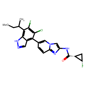 COCC(C)c1c(F)c(Cl)c(-c2ccc3nc(NC(=O)[C@@H]4C[C@@H]4F)cn3c2)c2cn[nH]c12